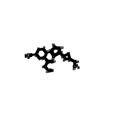 CC(C)(C)OC(=O)N1C[C@@H](N)CC[C@@H]1c1nnc(C2CC(OC(F)(F)F)C2)o1